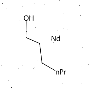 CCCCCCO.[Nd]